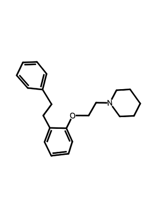 c1ccc(CCc2ccccc2OCCN2CCCCC2)cc1